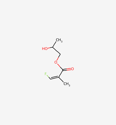 CC(=CF)C(=O)OCC(C)O